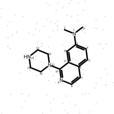 CN(C)c1ccc2ccnc(N3CCNCC3)c2c1